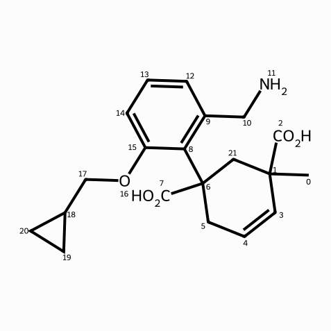 CC1(C(=O)O)C=CCC(C(=O)O)(c2c(CN)cccc2OCC2CC2)C1